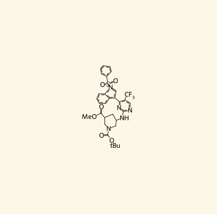 COC(=O)C1CC(Nc2ncc(C(F)(F)F)c(-c3cn(S(=O)(=O)c4ccccc4)c4ccccc34)n2)CN(C(=O)OC(C)(C)C)C1